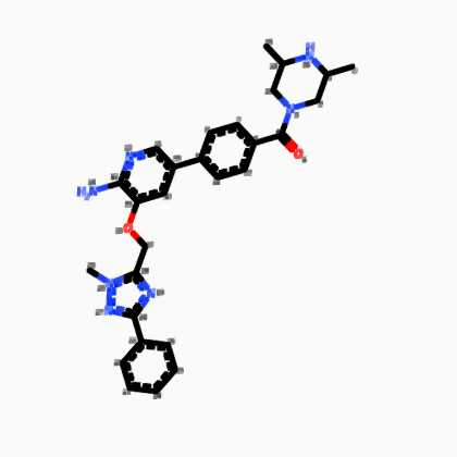 CC1CN(C(=O)c2ccc(-c3cnc(N)c(OCc4nc(-c5ccccc5)nn4C)c3)cc2)CC(C)N1